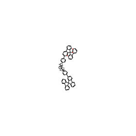 C[Si](C)(O[Si](C)(C)c1ccc(-c2ccc3c(c2)C2(c4ccccc4-c4ccccc42)c2ccccc2-3)cc1)c1ccc(-c2ccc3c(c2)C2(c4ccccc4-c4ccccc42)c2ccccc2-3)cc1